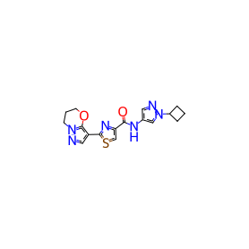 O=C(Nc1cnn(C2CCC2)c1)c1csc(-c2cnn3c2OCCC3)n1